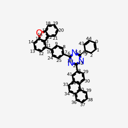 C1=CC[C@@H](c2nc(-c3ccc(-c4cccc5oc6ccccc6c45)cc3)nc(-c3ccc4c(ccc5ccccc54)c3)n2)C=C1